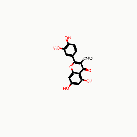 O=Cc1c(-c2ccc(O)c(O)c2)oc2cc(O)cc(O)c2c1=O